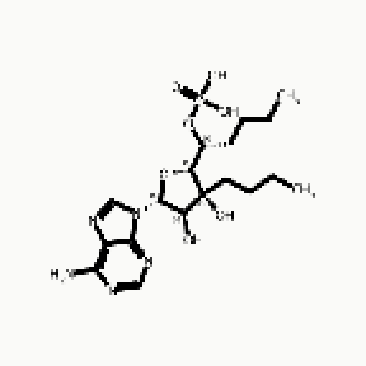 CCCC[C@@H](OP(=O)(O)O)[C@H]1O[C@@H](n2cnc3c(N)ncnc32)[C@H](O)[C@@]1(O)CCCC